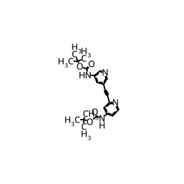 CC(C)(C)OC(=O)Nc1cncc(C#Cc2cc(NC(=O)OC(C)(C)C)ccn2)c1